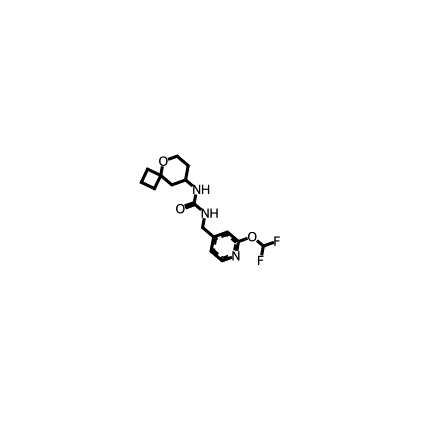 O=C(NCc1ccnc(OC(F)F)c1)NC1CCOC2(CCC2)C1